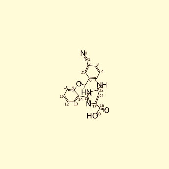 N#Cc1cccc(COc2ccccc2-c2nc(C(=O)O)cc(=N)[nH]2)c1